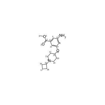 COC(=O)c1cc(N)cc(OC2CCN(C3CCC3)CC2)c1